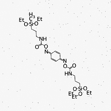 CCO[Si](C)(CCCNC(=O)ON=C1C=CC(=NOC(=O)NCCC[Si](OCC)(OCC)OCC)C=C1)OCC